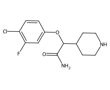 NC(=O)C(Oc1ccc(Cl)c(F)c1)C1CCNCC1